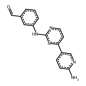 Nc1ccc(-c2ccnc(Nc3cccc(C=O)c3)n2)cn1